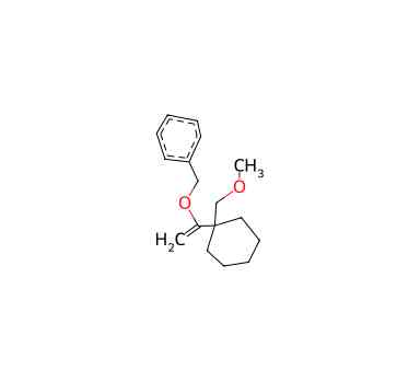 C=C(OCc1ccccc1)C1(COC)CCCCC1